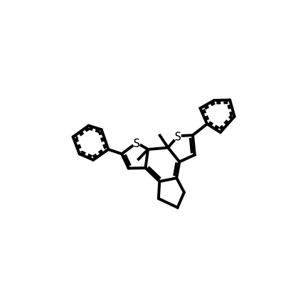 CC12SC(c3ccccc3)=CC1=C1CCCC1=C1C=C(c3ccccc3)SC12C